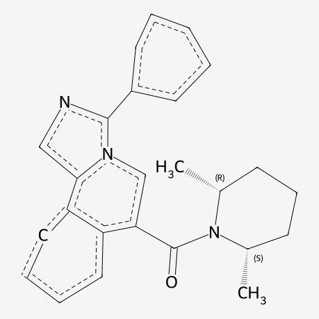 C[C@@H]1CCC[C@H](C)N1C(=O)c1cn2c(-c3ccccc3)ncc2c2ccccc12